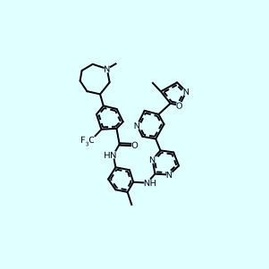 Cc1ccc(NC(=O)c2ccc(C3CCCCN(C)C3)cc2C(F)(F)F)cc1Nc1nccc(-c2cncc(-c3oncc3C)c2)n1